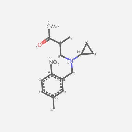 COC(=O)C(C)CN(Cc1cc(C)ccc1[N+](=O)[O-])C1CC1